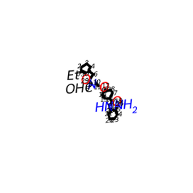 CCc1cccc2cc(N(C=O)CCOc3ccc(C(=O)Nc4ccccc4N)cc3)oc12